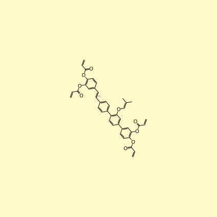 C=CC(=O)Oc1ccc(/C=C/c2ccc(-c3ccc(-c4ccc(OC(=O)C=C)c(OC(=O)C=C)c4)cc3OC=C(C)C)cc2)cc1OC(=O)C=C